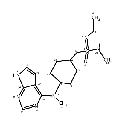 CCN=S(=O)(CC1CCC(N(C)c2ncnc3[nH]ccc23)CC1)NC